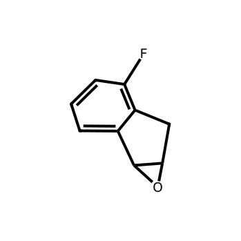 Fc1cccc2c1CC1OC21